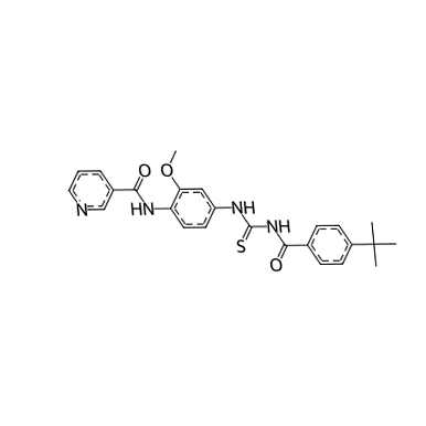 COc1cc(NC(=S)NC(=O)c2ccc(C(C)(C)C)cc2)ccc1NC(=O)c1cccnc1